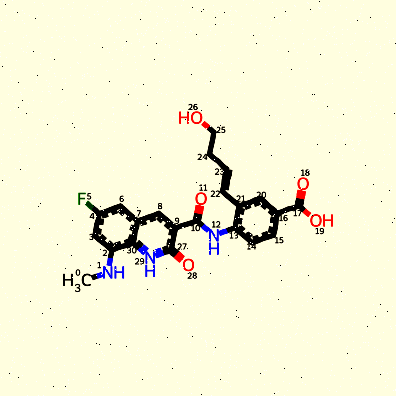 CNc1cc(F)cc2cc(C(=O)Nc3ccc(C(=O)O)cc3/C=C/CCO)c(=O)[nH]c12